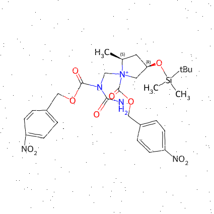 C[C@H]1C[C@@H](O[Si](C)(C)C(C)(C)C)C[N+]1(CN(C(N)=O)C(=O)OCc1ccc([N+](=O)[O-])cc1)C(=O)OCc1ccc([N+](=O)[O-])cc1